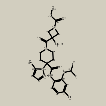 CCOC(=O)C1(C(=O)N2CCC(C(=O)Nc3ccc(Cl)cc3OC(F)F)(n3nccc3C(C)C)CC2)CN(C(=O)OC(C)(C)C)C1